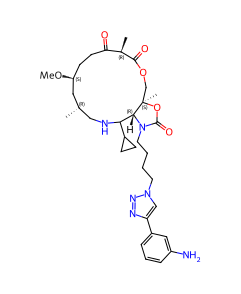 CO[C@H]1CCC(=O)[C@@H](C)C(=O)OC[C@@]2(C)OC(=O)N(CCCCn3cc(-c4cccc(N)c4)nn3)[C@@H]2C(C2CC2)NC[C@H](C)C1